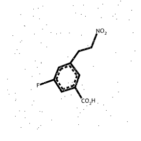 O=C(O)c1cc(F)cc(CC[N+](=O)[O-])c1